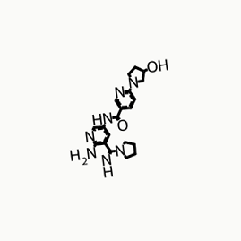 N=C(c1cc(NC(=O)c2ccc(N3CCC(O)C3)nc2)cnc1N)N1CCCC1